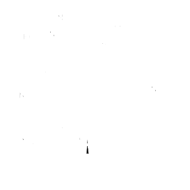 CCn1ncc2c1-c1cnc(N)c(c1)O[C@H](C)c1cc(F)ccc1-c1ncccc1C2=O